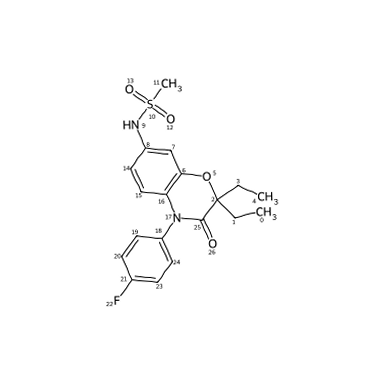 CCC1(CC)Oc2cc(NS(C)(=O)=O)ccc2N(c2ccc(F)cc2)C1=O